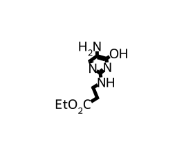 CCOC(=O)CCNc1ncc(N)c(O)n1